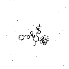 CCC1CN(C(=O)OCc2ccccc2)C(CO[Si](C)(C)C(C)(C)C)C=C1OS(=O)(=O)C(F)(F)F